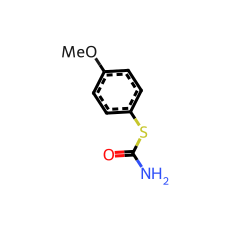 COc1ccc(SC(N)=O)cc1